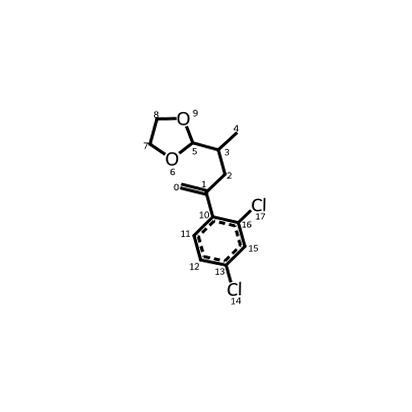 C=C(CC(C)C1OCCO1)c1ccc(Cl)cc1Cl